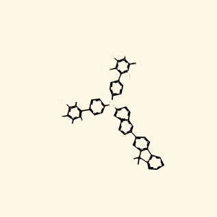 [2H]c1c([2H])c([2H])c(-c2ccc(N(c3ccc(-c4c([2H])c([2H])c([2H])c([2H])c4[2H])cc3)c3ccc4cc(-c5ccc6c(c5)C(C)(C)c5ccccc5-6)ccc4c3)cc2)c([2H])c1[2H]